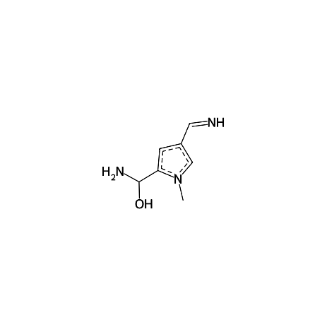 Cn1cc(C=N)cc1C(N)O